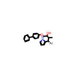 CC(=O)C(c1ccc[nH]1)C(C)C(O)COc1ccc(-c2ccccc2)cc1